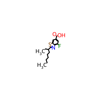 CCCCCCC(CC)c1nc2c(F)cc(C(=O)O)cc2s1